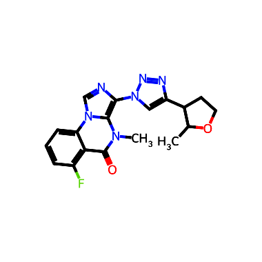 CC1OCCC1c1cn(-c2ncn3c4cccc(F)c4c(=O)n(C)c23)nn1